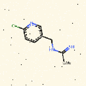 COC(=N)NCc1ccc(Cl)nc1